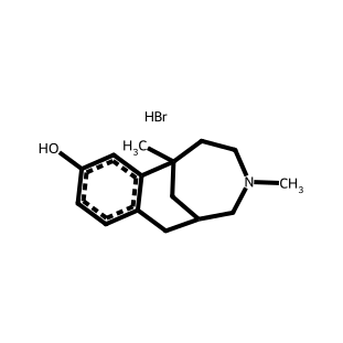 Br.CN1CCC2(C)CC(Cc3ccc(O)cc32)C1